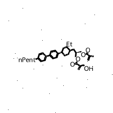 C=C(C)C(=O)OC[C@@H](COC(=O)C(=C)CO)CC1CCC(c2ccc(-c3ccc(CCCCC)cc3)cc2)CC1CC